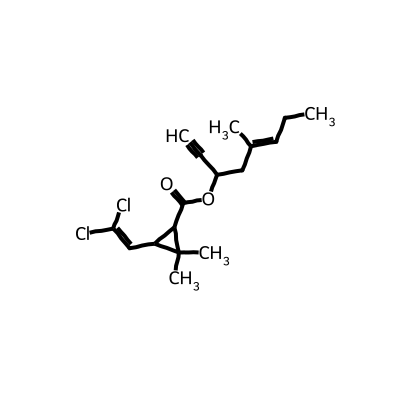 C#CC(C/C(C)=C/CC)OC(=O)C1C(C=C(Cl)Cl)C1(C)C